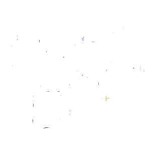 NC1=C(S)N(c2ccccc2)N(c2ccccc2)N=C1S